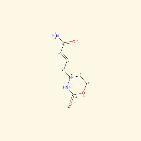 NC(=O)/C=C/CN1CCOC(=O)N1